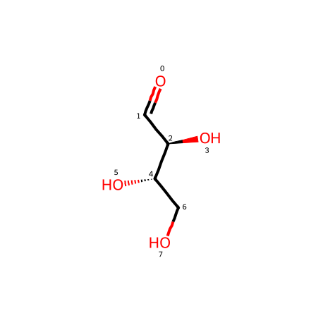 O=C[C@@H](O)[C@@H](O)CO